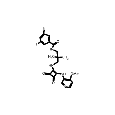 COc1ccncc1Nc1c(NCC(C)(C)CNC(=O)c2cc(F)cc(F)c2)c(=O)c1=O